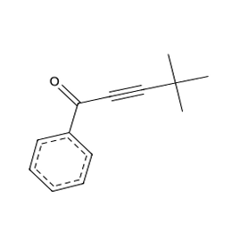 CC(C)(C)C#CC(=O)c1ccccc1